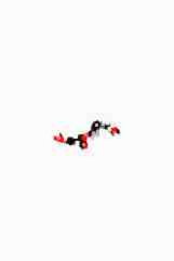 CC(C)(C)c1cc(NC(=O)CN2CCOCC2)cc(NC(=O)Nc2ccc(-c3ccc(NC4CCOCC4)cn3)c3ccccc23)c1